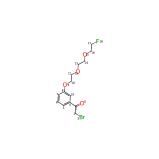 O=C(CBr)c1cccc(OCCOCCOCCF)c1